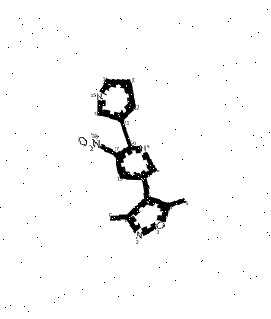 Cc1noc(C)c1-c1cnc(-c2cccnc2)c([N+](=O)[O-])c1